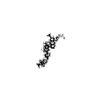 NCCOc1cc(C2CC2)ccc1Cc1cccc(-c2ccnc3[nH]c(-c4ccc(CN5CCN(S(=O)(=O)C6CC6)CC5)cn4)cc23)c1CO